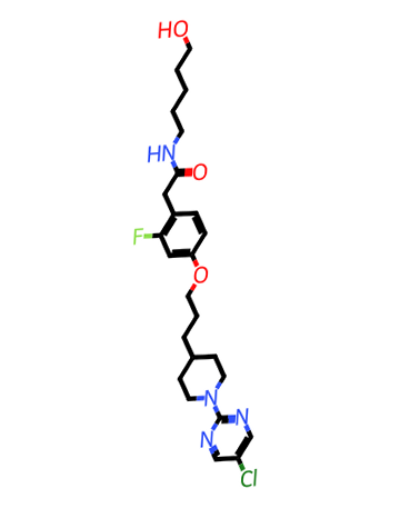 O=C(Cc1ccc(OCCCC2CCN(c3ncc(Cl)cn3)CC2)cc1F)NCCCCCO